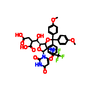 COc1ccc(C(O[C@H]2[C@@H](NC(=O)C(F)(F)F)[C@H](n3ccc(=O)[nH]c3=O)O[C@@H]2C(O)C(CC(=O)O)C(=O)O)(c2ccccc2)c2ccc(OC)cc2)cc1